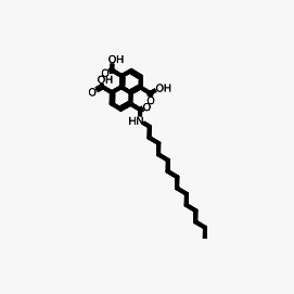 CCCCCCCCCCCCCCNC(=O)c1ccc(C(=O)O)c2c(C(=O)O)ccc(C(=O)O)c12